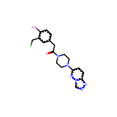 O=C(Cc1ccc(P)c(CF)c1)N1CCN(c2ccc3nncn3n2)CC1